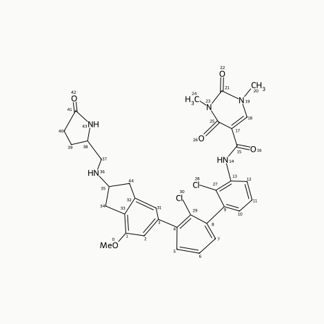 COc1cc(-c2cccc(-c3cccc(NC(=O)c4cn(C)c(=O)n(C)c4=O)c3Cl)c2Cl)cc2c1CC(NCC1CCC(=O)N1)C2